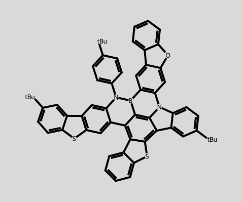 CC(C)(C)c1ccc(N2B3c4cc5c(cc4-n4c6ccc(C(C)(C)C)cc6c6c7sc8ccccc8c7c(c3c64)-c3cc4sc6ccc(C(C)(C)C)cc6c4cc32)oc2ccccc25)cc1